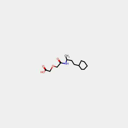 CC(CCC1CCCCC1)NC(=O)COCC(=O)O